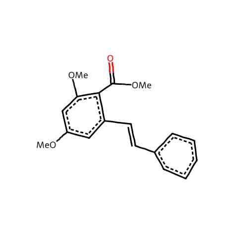 COC(=O)c1c(C=Cc2ccccc2)cc(OC)cc1OC